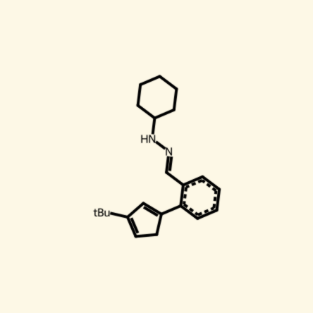 CC(C)(C)C1=CCC(c2ccccc2C=NNC2CCCCC2)=C1